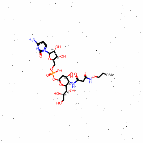 COCCONC(=O)CC(=O)N[C@H]1C([C@H](O)[C@H](O)CO)O[C@@H](OP(=O)(O)OCC2OC(n3ccc(N)nc3=O)[C@H](O)[C@@H]2O)C[C@H]1O